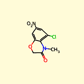 CN1C(=O)COc2cc([N+](=O)[O-])cc(Cl)c21